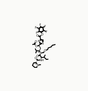 CCCCCOCN(C(=O)[C@@H](NC(=O)[C@H]1CCCCN1C)C(C)CC)[C@H](C[C@@H](OC(C)=O)c1nc(C(=O)Oc2c(F)c(F)c(F)c(F)c2F)cs1)C(C)C